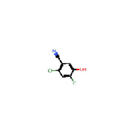 N#Cc1cc(O)c(Cl)cc1Cl